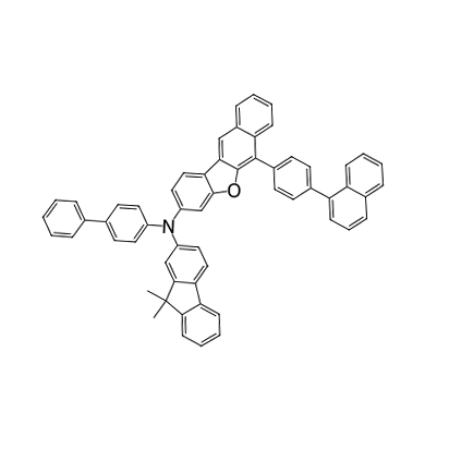 CC1(C)c2ccccc2-c2ccc(N(c3ccc(-c4ccccc4)cc3)c3ccc4c(c3)oc3c(-c5ccc(-c6cccc7ccccc67)cc5)c5ccccc5cc34)cc21